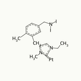 CCn1ccn(C)[c]1=[Pt].Cc1ccc(CN(I)I)cc1C